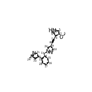 COc1c[nH]nc1C#Cc1cnn(Cc2ccccc2-c2cnn(C)c2)c1